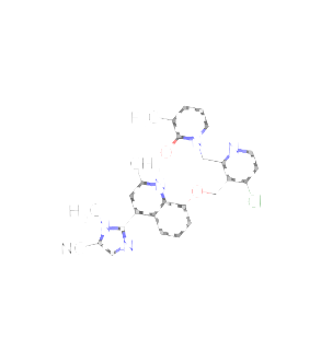 Cc1cc(-c2ncc(C#N)n2C)c2cccc(OCc3c(Cl)ccnc3Cn3cccc(C(F)(F)F)c3=O)c2n1